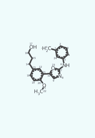 [CH2]c1cccc(Nc2ncc(-c3cc(CCCO)ccc3OC)o2)c1